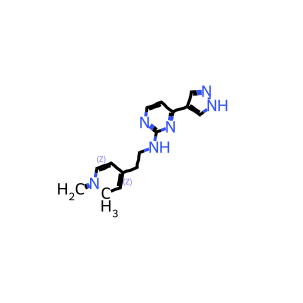 C=N/C=C\C(=C/C)CCNc1nccc(-c2cn[nH]c2)n1